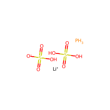 O=S(=O)(O)O.O=S(=O)([O-])O.P.[Li+]